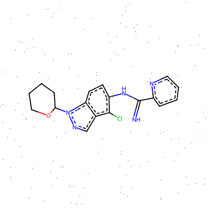 N=C(Nc1ccc2c(cnn2C2CCCCO2)c1Cl)c1ccccn1